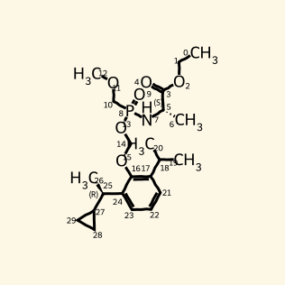 CCOC(=O)[C@H](C)NP(=O)(COC)OCOc1c(C(C)C)cccc1[C@H](C)C1CC1